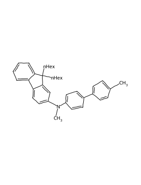 CCCCCCC1(CCCCCC)c2ccccc2-c2ccc(N(C)c3ccc(-c4ccc(C)cc4)cc3)cc21